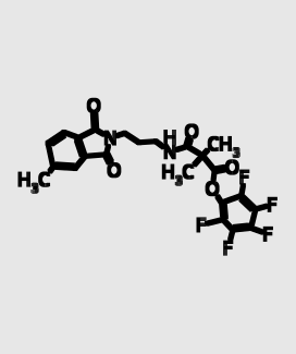 Cc1ccc2c(c1)C(=O)N(CCCNC(=O)C(C)(C)C(=O)Oc1c(F)c(F)c(F)c(F)c1F)C2=O